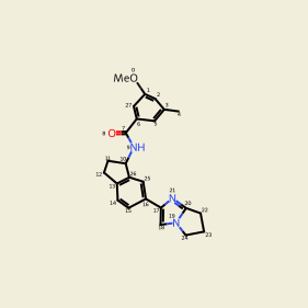 COc1cc(C)cc(C(=O)NC2CCc3ccc(-c4cn5c(n4)CCC5)cc32)c1